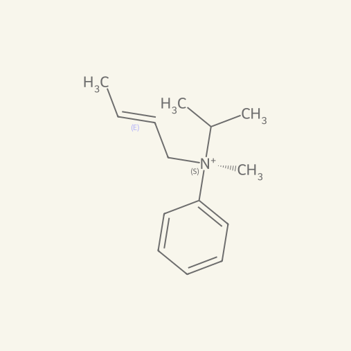 C/C=C/C[N@+](C)(c1ccccc1)C(C)C